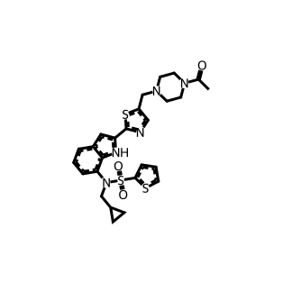 CC(=O)N1CCN(Cc2cnc(-c3cc4cccc(N(CC5CC5)S(=O)(=O)c5cccs5)c4[nH]3)s2)CC1